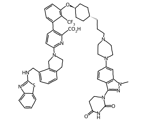 Cn1nc(N2CCC(=O)NC2=O)c2ccc(N3CCN(CCC[C@H]4CC[C@H](Oc5cccc(-c6ccc(N7CCc8cccc(CNc9nc%10ccccc%10s9)c8C7)nc6C(=O)O)c5C(F)(F)F)CC4)CC3)cc21